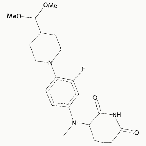 COC(OC)C1CCN(c2ccc(N(C)C3CCC(=O)NC3=O)cc2F)CC1